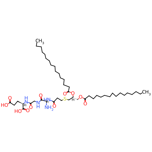 CCCCCCCCCCCCCCCC(=O)OC[C@H](CSCCC(=O)N[C@@H](N)C(=O)NCC(=O)N[C@H](CCC(=O)O)C(=O)O)OC(=O)CCCCCCCCCCCCCCC